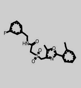 Cc1ccccc1-c1nc(CS(=O)(=O)CC(=O)NCc2cccc(F)c2)c(C)o1